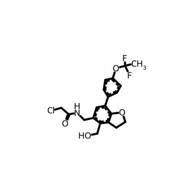 CC(F)(F)Oc1ccc(-c2cc(CNC(=O)CCl)c(CO)c3c2OCC3)cc1